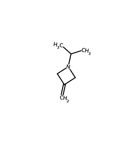 C=C1CN(C(C)C)C1